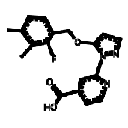 Cc1ccc(COc2ccnn2-c2cc(C(=O)O)ccn2)c(F)c1C